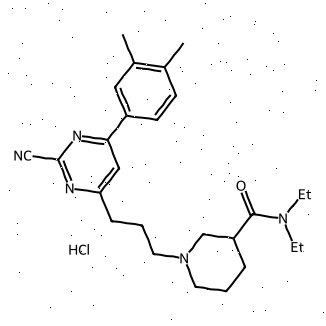 CCN(CC)C(=O)C1CCCN(CCCc2cc(-c3ccc(C)c(C)c3)nc(C#N)n2)C1.Cl